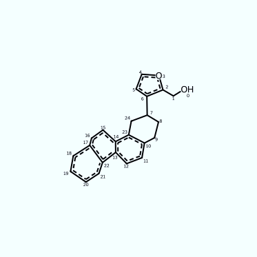 OCc1occc1C1CCc2ccc3c(ccc4ccccc43)c2C1